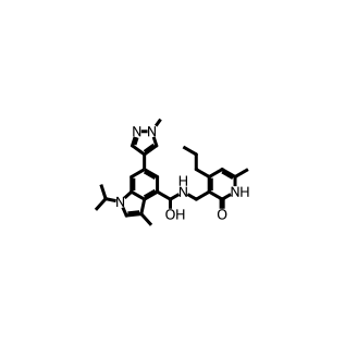 CCCc1cc(C)[nH]c(=O)c1CNC(O)c1cc(-c2cnn(C)c2)cc2c1c(C)cn2C(C)C